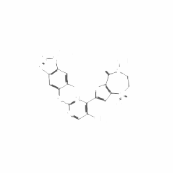 CN1CCS(=O)(=O)c2cc(-c3nc(Nc4cc5nnn(C)c5cc4Cl)ncc3C(F)(F)F)sc2C1=O